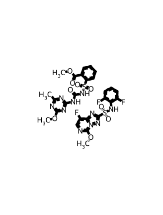 COC(=O)c1ccccc1S(=O)(=O)NC(=O)Nc1nc(C)nc(OC)n1.COc1ncc(F)c2nc(S(=O)(=O)Nc3c(F)cccc3F)nn12